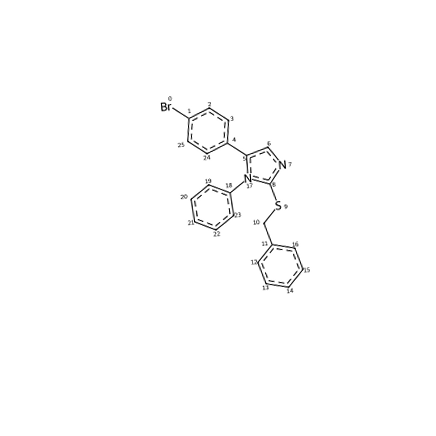 Brc1ccc(-c2cnc(SCc3ccccc3)n2-c2ccccc2)cc1